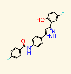 O=C(Nc1ccc(-c2cc(-c3cc(F)ccc3O)n[nH]2)cc1)c1ccc(F)cc1